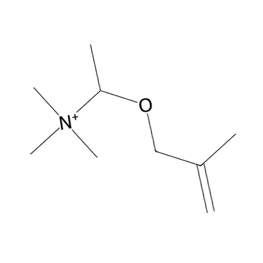 C=C(C)COC(C)[N+](C)(C)C